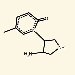 Cc1ccc(=O)n(C2CNCC2N)c1